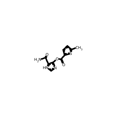 Cc1ccc(C(=O)Oc2nc[nH]c2C(N)=O)s1